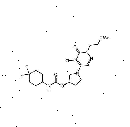 COCCn1ncc(N2CC[C@@H](OC(=O)NC3CCC(F)(F)CC3)C2)c(Cl)c1=O